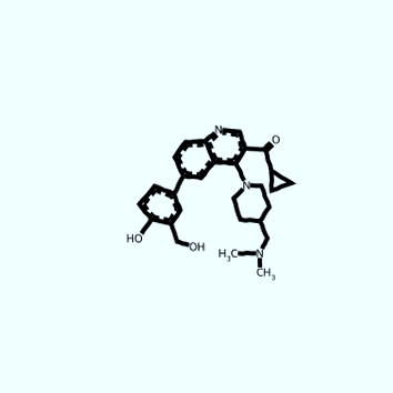 CN(C)CC1CCN(c2c(C(=O)C3CC3)cnc3ccc(-c4ccc(O)c(CO)c4)cc23)CC1